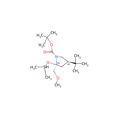 COC[C@@]1(O[SiH](C)C)C[C@H](C(C)(C)C)CN1C(=O)OC(C)(C)C